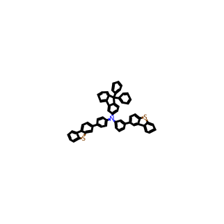 c1ccc(C2(c3ccccc3)c3ccccc3-c3cc(N(c4ccc(-c5ccc6c(c5)sc5ccccc56)cc4)c4cccc(-c5ccc6sc7ccccc7c6c5)c4)ccc32)cc1